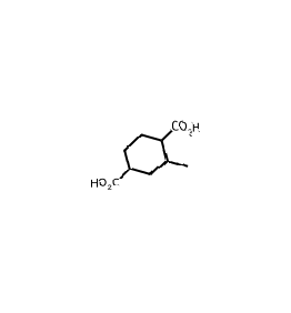 CC1CC(C(=O)O)CCC1C(=O)O